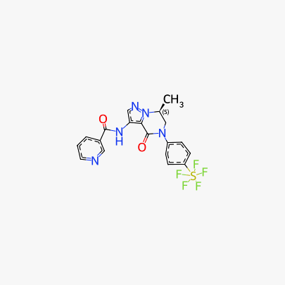 C[C@H]1CN(c2ccc(S(F)(F)(F)(F)F)cc2)C(=O)c2c(NC(=O)c3cccnc3)cnn21